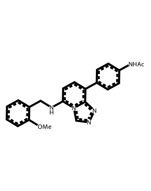 COc1ccccc1CNc1ccc(-c2ccc(NC(C)=O)cc2)c2nncn12